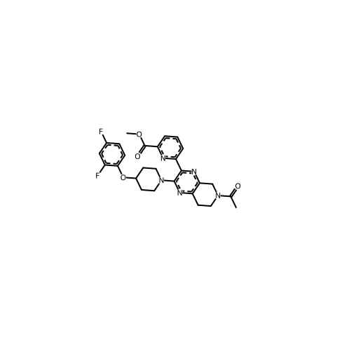 COC(=O)c1cccc(-c2nc3c(nc2N2CCC(Oc4ccc(F)cc4F)CC2)CCN(C(C)=O)C3)n1